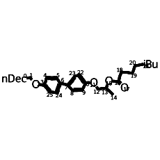 CCCCCCCCCCCOc1ccc(-c2ccc(OCC(C)OC(=O)CCCC(C)CC)cc2)cc1